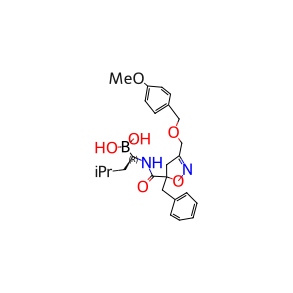 COc1ccc(COCC2=NOC(Cc3ccccc3)(C(=O)N[C@@H](CC(C)C)B(O)O)C2)cc1